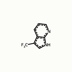 FC(F)(F)c1c[nH]c2nc[c]cc12